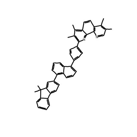 Cc1cnc2c(ccc3c(C)c(C)c(-c4ccc(-c5cccc6c(-c7ccc8c(c7)C(C)(C)c7ccccc7-8)cccc56)cc4)nc32)c1C